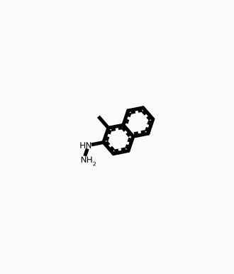 Cc1c(NN)ccc2ccccc12